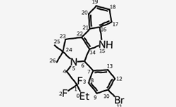 CCC(F)(F)CN1C(c2ccc(Br)cc2)c2[nH]c3ccccc3c2CC1(C)C